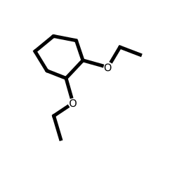 CCO[C]1CCCCC1OCC